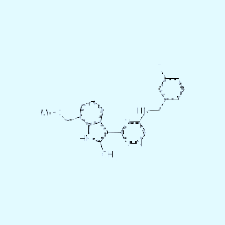 COCc1cccc2c(-c3nncc(NCc4cccc(F)c4)n3)c(C)[nH]c12